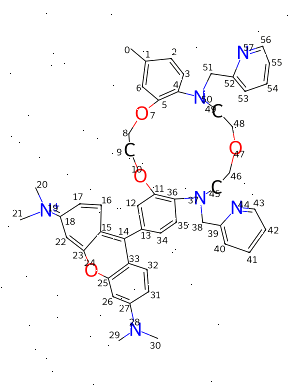 Cc1ccc2c(c1)OCCOc1cc(-c3c4ccc(=[N+](C)C)cc-4oc4cc(N(C)C)ccc34)ccc1N(Cc1ccccn1)CCOCCN2Cc1ccccn1